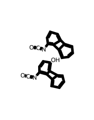 O=C=Nc1ccc(O)c2c1-c1ccccc1-2.O=C=Nc1cccc2c1-c1ccccc1-2